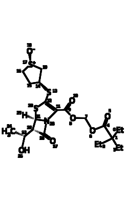 CCC(CC)(CC)C(=O)OCOC(=O)C1=C(S[C@H]2CC[S@@+]([O-])C2)S[C@@H]2[C@@H]([C@@H](C)O)C(=O)N12